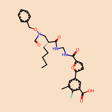 CCCCC[C@H](CN(C=O)OCc1ccccc1)C(=O)NCNC(=O)c1ccc(-c2cc(C)c(F)c(C(=O)O)c2)o1